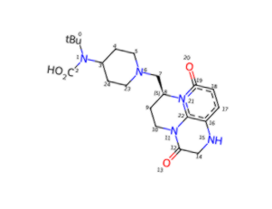 CC(C)(C)N(C(=O)O)C1CCN(C[C@@H]2CCN3C(=O)CNc4ccc(=O)n2c43)CC1